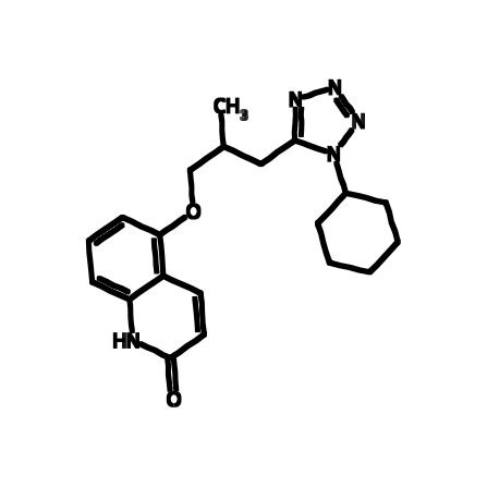 CC(COc1cccc2[nH]c(=O)ccc12)Cc1nnnn1C1CCCCC1